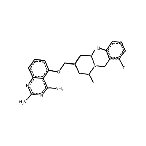 CC1CC(COc2cccc3nc(N)nc(N)c23)CC(C)N1Cc1c(F)cccc1Cl